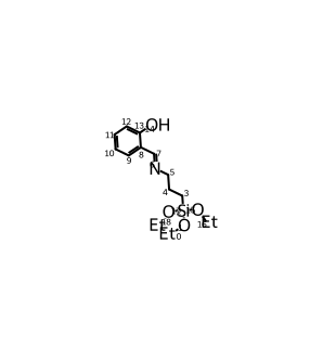 CCO[Si](CCC/N=C/c1ccccc1O)(OCC)OCC